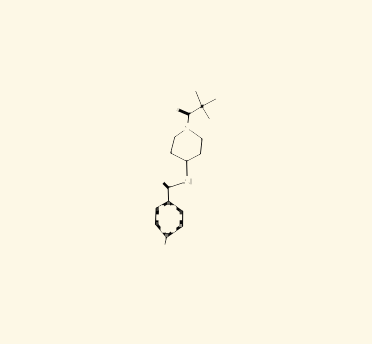 CC(C)(C)C(=O)N1CCC(NC(=O)c2ccc(F)cc2)CC1